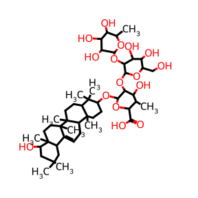 CC1OC(OC2C(OC3C(OC4CCC5(C)C(CCC6(C)C5CC=C5C7CC(C)(C)CC(O)C7(C)CCC56C)C4(C)C)OC(C(=O)O)C(C)C3O)OC(CO)C(O)C2O)C(O)C(O)C1O